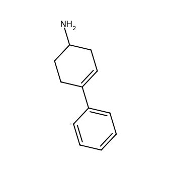 NC1CC=C(c2[c]cccc2)CC1